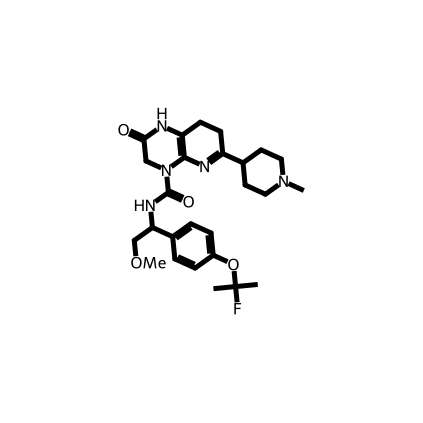 COCC(NC(=O)N1CC(=O)NC2=C1N=C(C1CCN(C)CC1)CC2)c1ccc(OC(C)(C)F)cc1